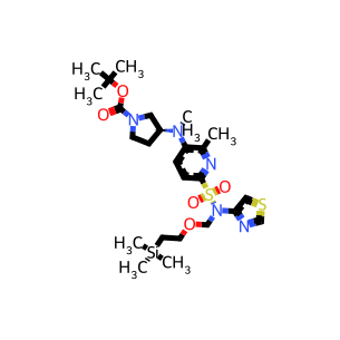 Cc1nc(S(=O)(=O)N(COCC[Si](C)(C)C)c2cscn2)ccc1N(C)[C@H]1CCN(C(=O)OC(C)(C)C)C1